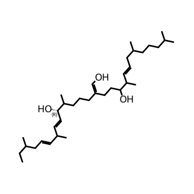 CCC(C)CC=CC(C)C=C[C@H](O)C(C)CCCC(=CO)CCC(O)C(C)C=CCC(C)CCCC(C)C